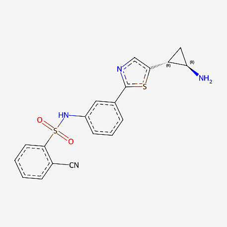 N#Cc1ccccc1S(=O)(=O)Nc1cccc(-c2ncc([C@@H]3C[C@H]3N)s2)c1